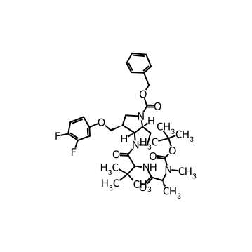 C[C@@H](C(=O)N[C@H](C(=O)N1CC[C@@H]2[C@H]1[C@@H](COc1ccc(F)c(F)c1)CN2C(=O)OCc1ccccc1)C(C)(C)C)N(C)C(=O)OC(C)(C)C